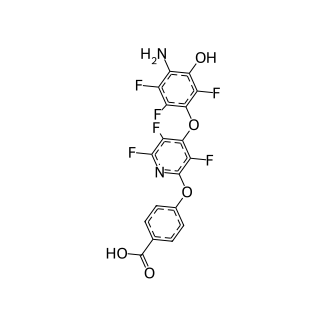 Nc1c(O)c(F)c(Oc2c(F)c(F)nc(Oc3ccc(C(=O)O)cc3)c2F)c(F)c1F